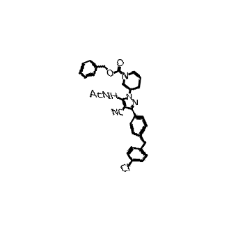 CC(=O)Nc1c(C#N)c(-c2ccc(Cc3ccc(Cl)cc3)cc2)nn1C1CCCN(C(=O)OCc2ccccc2)C1